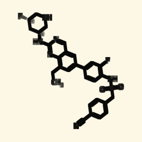 CCc1cc(-c2ccc(NS(=O)(=O)Cc3ccc(C#N)cc3)c(F)c2)cc2cnc(N[C@@H]3CNC[C@@H](F)C3)nc12